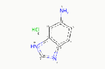 Cl.Nc1ccc2nc[nH]c2c1